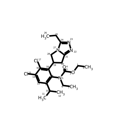 CCOC(=O)N(CC)c1c(C(C)C)cc(Cl)c(Cl)c1C1Cc2nnc(CC)n2C1